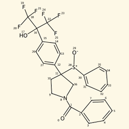 O=C(c1ccccc1)N1CCC(c2ccc(C(O)(C(F)(F)F)C(F)(F)F)cc2)([S+]([O-])c2ccccc2)C1